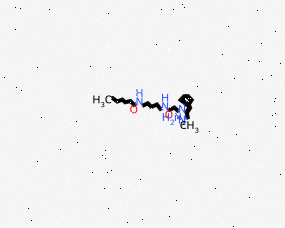 CCCCCCC(=O)NCCCCCNC(=O)CCn1c(CN(C)N)cc2ccccc21